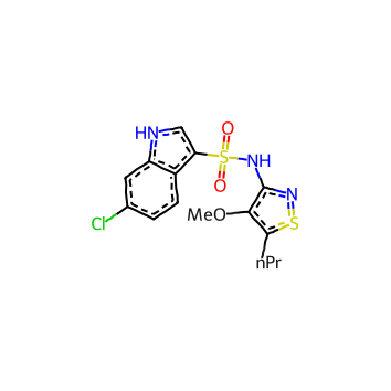 CCCc1snc(NS(=O)(=O)c2c[nH]c3cc(Cl)ccc23)c1OC